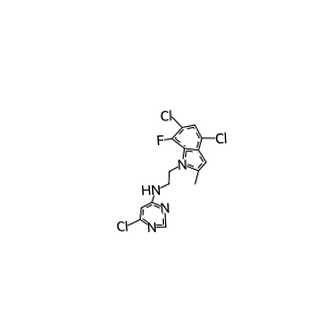 Cc1cc2c(Cl)cc(Cl)c(F)c2n1CCNc1cc(Cl)ncn1